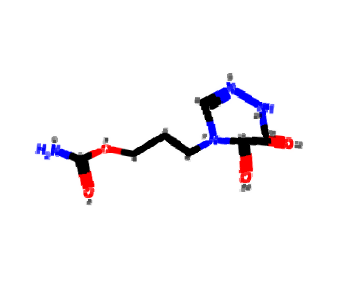 NC(=O)OCCCn1[c]n[nH]c(=O)c1=O